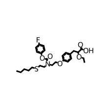 CCCCCSCCN(CCOc1ccc(CC(OCC)C(=O)O)cc1)C(=O)Oc1ccc(F)cc1